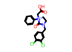 O=C(O)C[N+]1(c2ccccc2)CCN(Cc2ccc(Cl)c(Cl)c2)C1=O